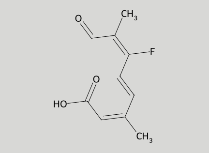 CC(C=CC(F)=C(C)C=O)=CC(=O)O